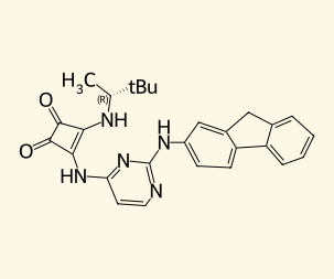 C[C@@H](Nc1c(Nc2ccnc(Nc3ccc4c(c3)Cc3ccccc3-4)n2)c(=O)c1=O)C(C)(C)C